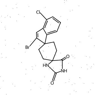 O=C1NC(=O)C2(CCC3(CC2)C(Br)=Cc2c(Cl)cccc23)N1